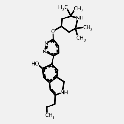 CCCC1=Cc2cc(O)c(-c3ccc(OC4CC(C)(C)NC(C)(C)C4)nn3)cc2CN1